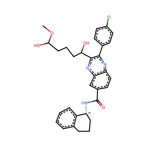 COC(O)CCCC(O)c1nc2cc(C(=O)N[C@@H]3CCCc4ccccc43)ccc2nc1-c1ccc(Cl)cc1